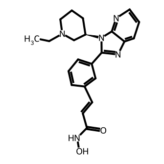 CCN1CCC[C@@H](n2c(-c3cccc(C=CC(=O)NO)c3)nc3cccnc32)C1